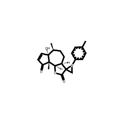 Cc1ccc(N2CC23C(=O)O[C@@H]2[C@H]3CC[C@H](C)[C@]3(O)C=CC(=O)[C@@]23C)cc1